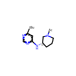 CC(=O)N1CCC[C@H](Nc2cc(C(C)(C)C)ncn2)C1